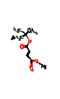 CC(C)(C)OC(=O)/C=C/C(=O)[O][Ag]